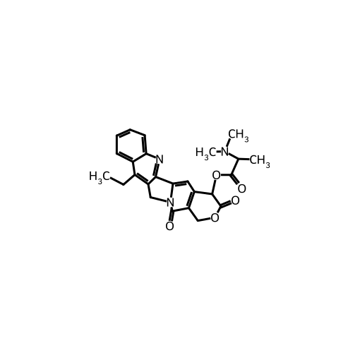 CCc1c2c(nc3ccccc13)-c1cc3c(c(=O)n1C2)COC(=O)C3OC(=O)C(C)N(C)C